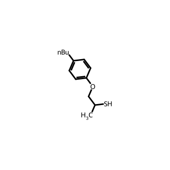 CCCCc1ccc(OCC(C)S)cc1